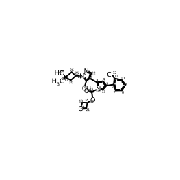 Cc1c(-c2cc(-c3ccccc3Cl)cn2C(=O)OC2COC2)cnn1C1CC(C)(O)C1